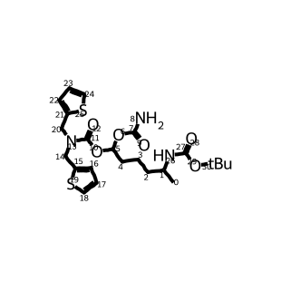 CC(CCCC(OC(N)=O)OC(=O)N(Cc1cccs1)Cc1cccs1)NC(=O)OC(C)(C)C